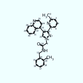 Cc1cccc(-c2nn(CC(=O)NCc3ccccc3C)cc2-c2ccnc3ccccc23)n1